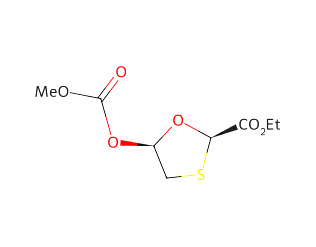 CCOC(=O)[C@@H]1O[C@H](OC(=O)OC)CS1